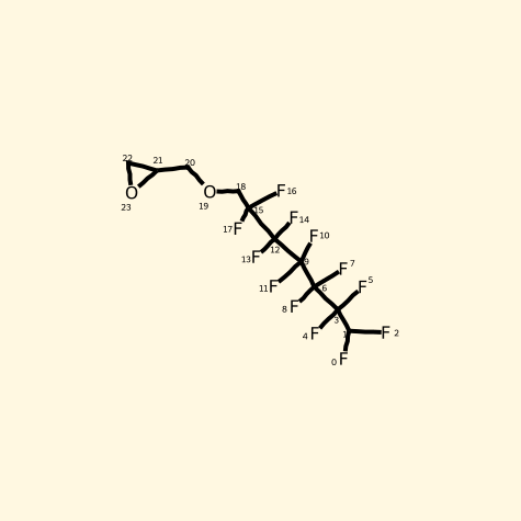 FC(F)C(F)(F)C(F)(F)C(F)(F)C(F)(F)C(F)(F)COCC1CO1